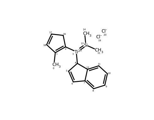 CC1=[C]([Ti+2]([CH]2C=Cc3ccccc32)=[Si](C)C)CC=C1.[Cl-].[Cl-]